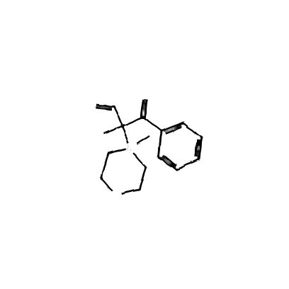 CC(C=S)(C(=O)c1ccccc1)[N+]1(C)CCOCC1